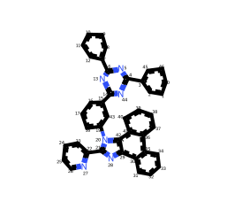 c1ccc(-c2nc(-c3ccccc3)nc(-c3cccc(-n4c(-c5ccccn5)nc5c6ccccc6c6ccccc6c54)c3)n2)cc1